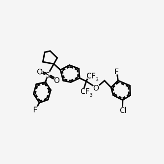 O=S(=O)(c1ccc(F)cc1)C1(c2ccc(C(OCc3cc(Cl)ccc3F)(C(F)(F)F)C(F)(F)F)cc2)CCCC1